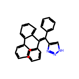 c1ccc(C(=C(c2ccccc2)c2ccccc2-c2ccccc2)c2c[nH]nn2)cc1